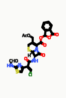 CC(=O)OCC1=C(C(=O)OC2OC(=O)c3ccccc32)N2C(=O)[C@@H](NC(=O)C(=CCl)c3csc(NC=O)n3)[C@H]2SC1